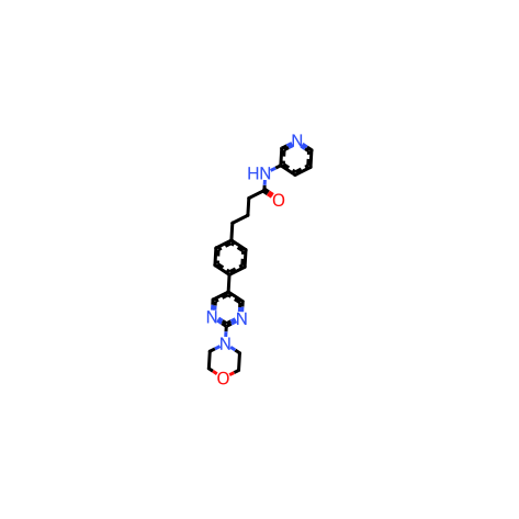 O=C(CCCc1ccc(-c2cnc(N3CCOCC3)nc2)cc1)Nc1cccnc1